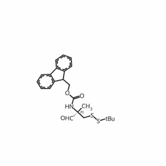 CC(C)(C)SSC[C@@](C)(C=O)NC(=O)OCC1c2ccccc2-c2ccccc21